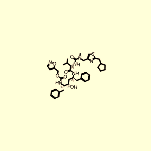 CC(C)[C@H](NC(=O)N(C)Cc1csc(CC2CCCC2)n1)C(=O)N[C@@H](Cc1ccccc1)C[C@H](O)[C@H](Cc1ccccc1)NC(=O)OCc1ccno1